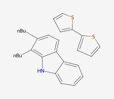 CCCCc1ccc2c([nH]c3ccccc32)c1CCCC.c1csc(-c2cccs2)c1